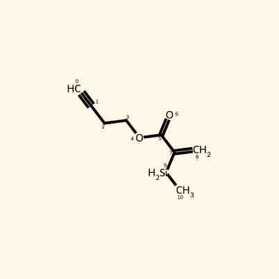 C#CCCOC(=O)C(=C)[SiH2]C